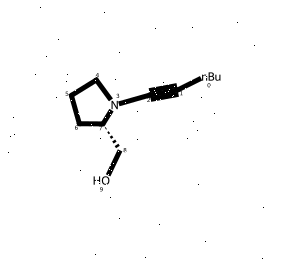 CCCCC#CN1CCC[C@H]1CO